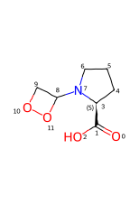 O=C(O)[C@@H]1CCCN1C1COO1